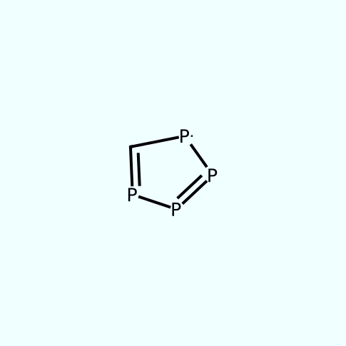 C1=PP=P[P]1